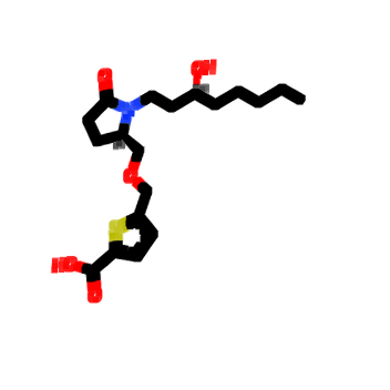 CCCCC[C@@H](O)CCN1C(=O)CC[C@@H]1COCc1ccc(C(=O)O)s1